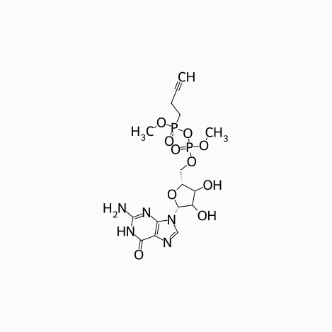 C#CCCP(=O)(OC)OP(=O)(OC)OC[C@H]1O[C@@H](n2cnc3c(=O)[nH]c(N)nc32)C(O)C1O